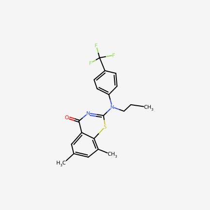 CCCN(c1ccc(C(F)(F)F)cc1)c1nc(=O)c2cc(C)cc(C)c2s1